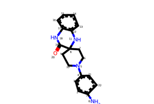 Nc1ccc(N2CCC3(CC2)Nc2ccccc2NC3=O)cc1